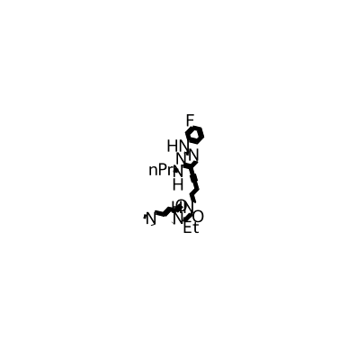 CCCNc1nc(Nc2cccc(F)c2)ncc1C#CCCCNC(=O)[C@H](CC)N(C)C(=O)/C=C/CN(C)C